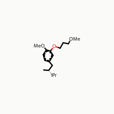 COCCCOc1cc(C[C@@H](C)C(C)C)ccc1OC